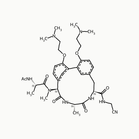 CC(=O)N[C@@H](C)C(=O)N(C)[C@@H]1C(=O)N[C@@H](C)C(=O)N[C@H](C(=O)NCC#N)Cc2ccc(OCCN(C)C)c(c2)-c2cc1ccc2OCCN(C)C